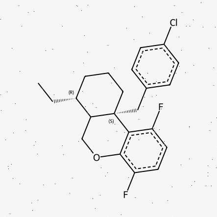 CC[C@@H]1CCC[C@@]2(Cc3ccc(Cl)cc3)c3c(F)ccc(F)c3OCC12